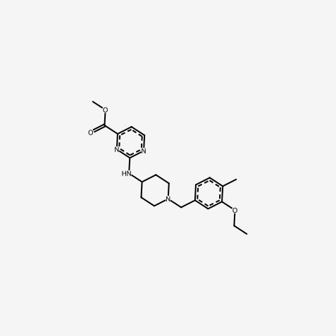 CCOc1cc(CN2CCC(Nc3nccc(C(=O)OC)n3)CC2)ccc1C